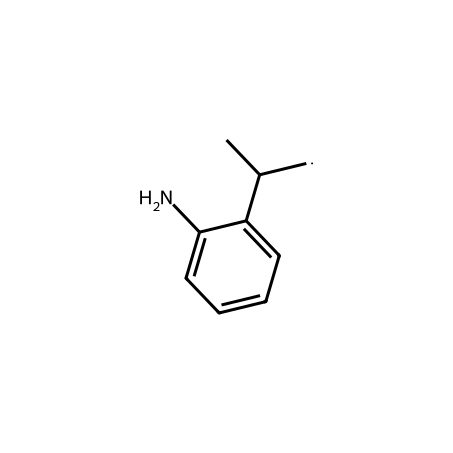 [CH2]C(C)c1ccccc1N